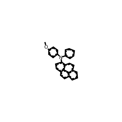 COc1ccc(N(c2ccccc2)c2ccc3ccc4cccc5ccc2c3c45)cc1